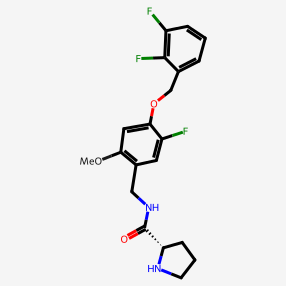 COc1cc(OCc2cccc(F)c2F)c(F)cc1CNC(=O)[C@@H]1CCCN1